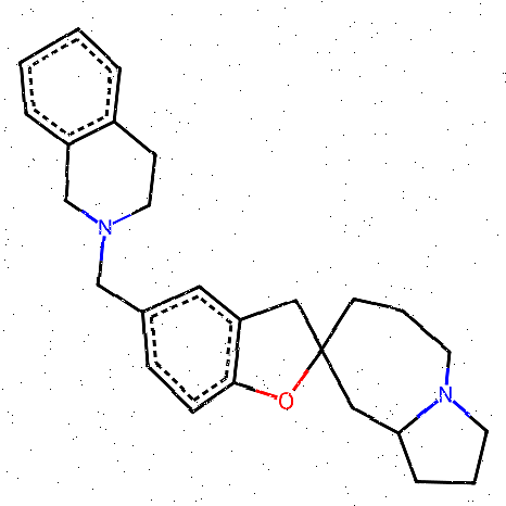 c1ccc2c(c1)CCN(Cc1ccc3c(c1)CC1(CCCN4CCCC4C1)O3)C2